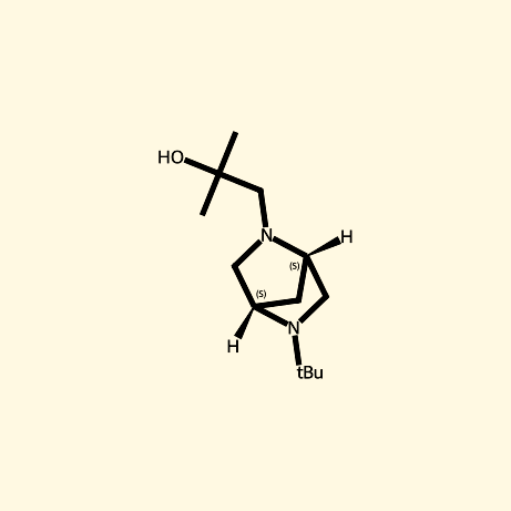 CC(C)(O)CN1C[C@@H]2C[C@H]1CN2C(C)(C)C